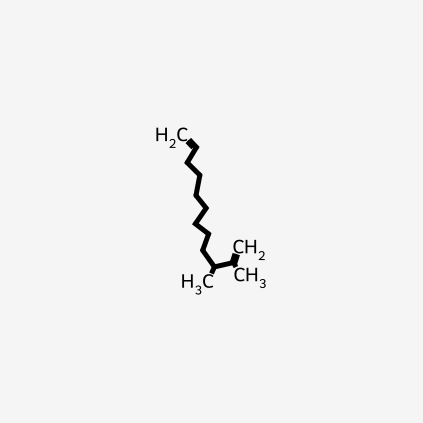 C=CCCCCCCCC(C)C(=C)C